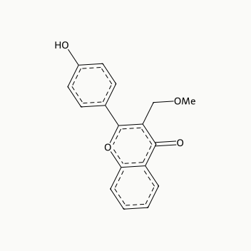 COCc1c(-c2ccc(O)cc2)oc2ccccc2c1=O